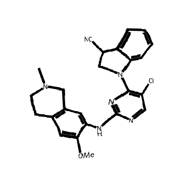 COc1cc2c(cc1Nc1ncc(Cl)c(N3CC(C#N)c4ccccc43)n1)CN(C)CC2